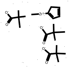 CC(C)(C)C(=O)[O-].CC(C)(C)C(=O)[O-].CC(C)(C)C(=O)[O-].[CH3][Zr+3][C]1=CC=CC1